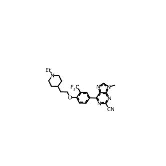 CCN1CCC(CCOc2ccc(-c3nc(C#N)nc4c3ncn4C)cc2C(F)(F)F)CC1